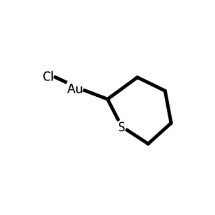 [Cl][Au][CH]1CCCCS1